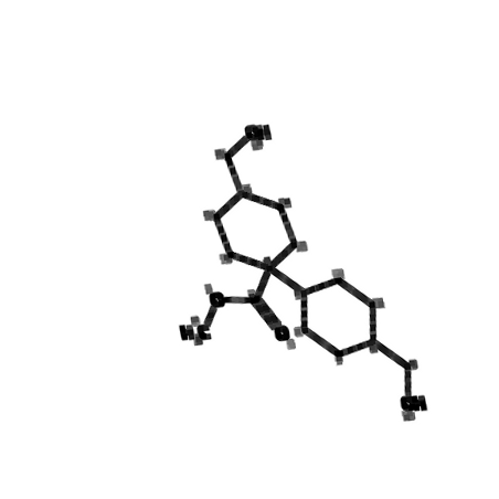 COC(=O)C1(C2CCC(CO)CC2)CCC(CO)CC1